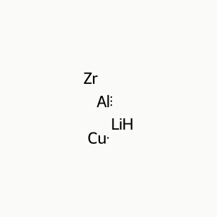 [Al].[Cu].[LiH].[Zr]